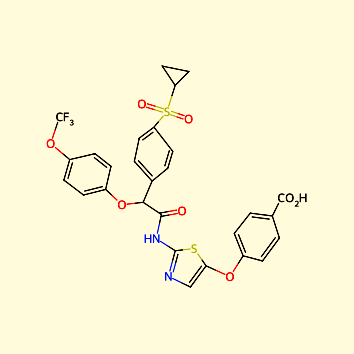 O=C(O)c1ccc(Oc2cnc(NC(=O)C(Oc3ccc(OC(F)(F)F)cc3)c3ccc(S(=O)(=O)C4CC4)cc3)s2)cc1